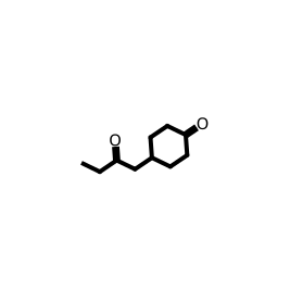 CCC(=O)CC1CCC(=O)CC1